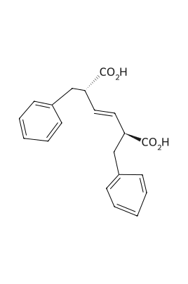 O=C(O)[C@H](/C=C/[C@H](Cc1ccccc1)C(=O)O)Cc1ccccc1